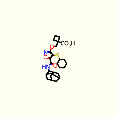 O=C(NC1C2CC3CC(C2)CC1C3)c1onc(OCC2(C(=O)O)CCC2)c1SC1CCCCC1